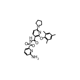 Cc1cc(C)c(Oc2nc(N3CCCC3)ccc2C(=O)NS(=O)(=O)c2cccc(N)n2)c(C)c1